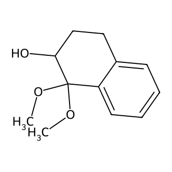 COC1(OC)c2ccccc2CCC1O